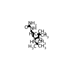 CC(C)(C)N[C@@H](CCCNC(N)=O)C(=O)C(C)(C)C